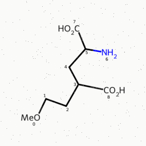 COCCC(CC(N)C(=O)O)C(=O)O